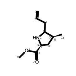 C=CCC1N[C@H](C(=O)OC)C[C@@H]1C